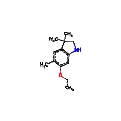 CCOc1cc2c(cc1C)C(C)(C)CN2